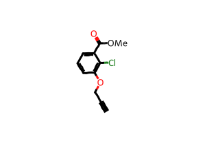 C#CCOc1cccc(C(=O)OC)c1Cl